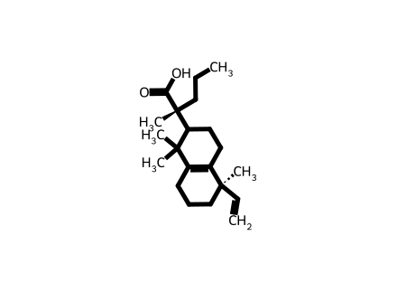 C=C[C@@]1(C)CCCC2=C1CCC([C@@](C)(CCC)C(=O)O)C2(C)C